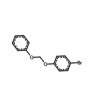 Brc1ccc(OCOc2ccccc2)cc1